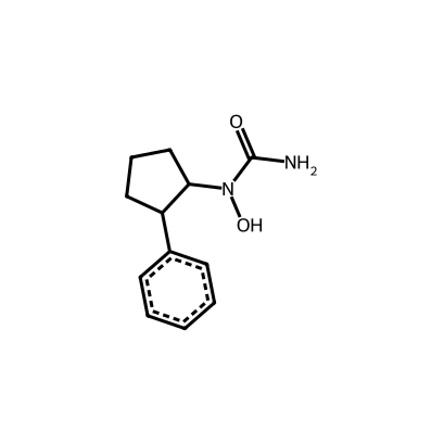 NC(=O)N(O)C1CCCC1c1ccccc1